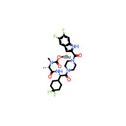 C[C@@H](C(=O)N[C@H](C(=O)N1CCN(C(=O)c2cc3cc(F)c(F)cc3[nH]2)CC1)C1CCC(F)(F)CC1)N(C)C(=O)OC(C)(C)C